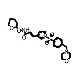 O=C(/C=C/c1ccn(S(=O)(=O)c2ccc(CN3CCOCC3)cc2)c1)NOC1CCCCO1